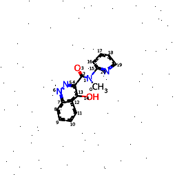 CN(C(=O)c1nnc2ccccc2c1O)c1ccccn1